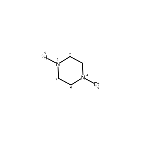 [3H]N1CCN(CC)CC1